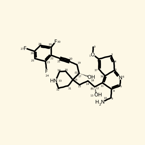 COc1ccc2ncc(CN)c([C@H](O)CCC3([C@@H](O)CC#Cc4c(F)cc(F)cc4F)CCNCC3)c2c1